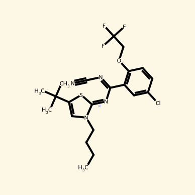 CCCCn1cc(C(C)(C)C)s/c1=N\C(=NC#N)c1cc(Cl)ccc1OCC(F)(F)F